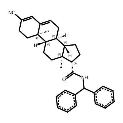 C[C@]12CC[C@H]3[C@@H](CC=C4C=C(C#N)CC[C@@]43C)[C@@H]1CC[C@@H]2C(=O)NC(c1ccccc1)c1ccccc1